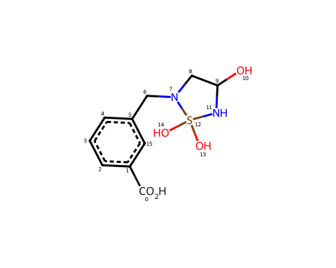 O=C(O)c1cccc(CN2CC(O)NS2(O)O)c1